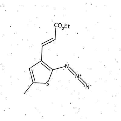 CCOC(=O)C=Cc1cc(C)sc1N=[N+]=[N-]